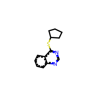 c1ccc2c(SC3CCCC3)ncnc2c1